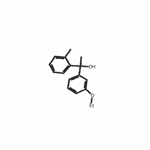 CCOc1cccc(C(C)(O)c2ccccc2C)c1